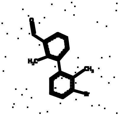 Cc1c(Br)cccc1-c1cccc(C=O)c1C